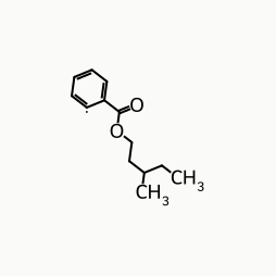 CCC(C)CCOC(=O)c1[c]cccc1